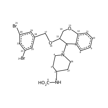 O=C(O)NC1CCN(C2c3ccccc3OCC2OCc2cc(Br)cc(Br)c2)CC1